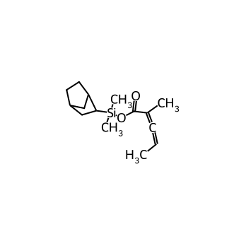 CC=C=C(C)C(=O)O[Si](C)(C)C1CC2CCC1C2